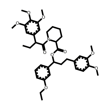 CCOc1cccc(C(CCc2ccc(OC)c(OC)c2)OC(=O)C2CCCCN2C(=O)C(CC)c2cc(OC)c(OC)c(OC)c2)c1